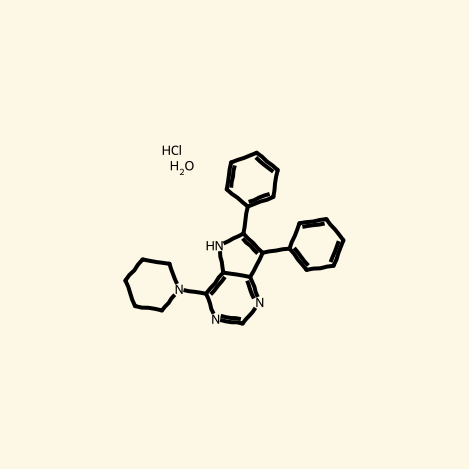 Cl.O.c1ccc(-c2[nH]c3c(N4CCCCC4)ncnc3c2-c2ccccc2)cc1